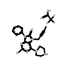 CC#CCn1c(=O)n(-c2ccccc2)c2nc(Cl)nc(N3CCNCC3)c21.O=C(O)C(F)(F)F